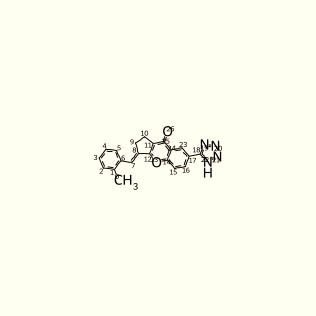 Cc1ccccc1C=C1CCc2c1oc1ccc(-c3nnn[nH]3)cc1c2=O